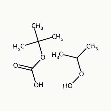 CC(C)(C)OC(=O)O.CC(C)OO